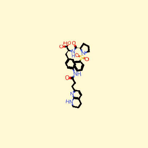 O=C(CCc1ccc2c(n1)NCCC2)Nc1ccc(C[C@H](NC(=O)[C@@H]2CCCN2S(=O)(=O)c2ccccc2)C(=O)O)cc1